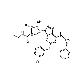 CCNC(=O)[C@@H]1C[C@H](n2nnc3c(NC4CC4c4ccccc4)nc(Sc4cccc(Cl)c4)nc32)[C@@H](O)[C@H]1O